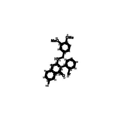 COc1ccc(CNc2nc3ccc(I)cc3c(=O)n2-c2ccccc2Br)cc1OC